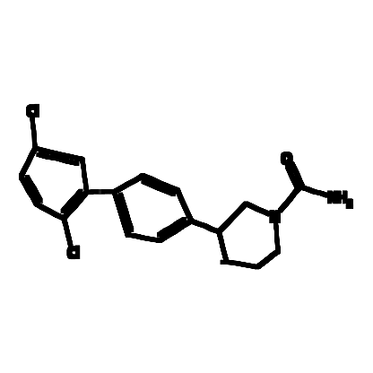 NC(=O)N1CC[CH]C(c2ccc(-c3cc(Cl)ccc3Cl)cc2)C1